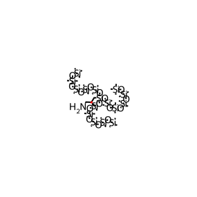 C[Si](C)(C)O[Si](C)(C)O[Si](C)(C)O[Si](C)(C)O[Si](C)(C)O[Si](CCCN)(O[Si](C)(C)O[Si](C)(C)O[Si](C)(C)O[Si](C)(C)O[Si](C)(C)C)O[Si](C)(C)O[Si](C)(C)O[Si](C)(C)O[Si](C)(C)O[Si](C)(C)C